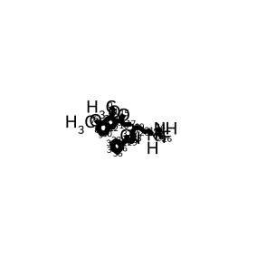 COc1cc2c(OC)cccc2cc1C(=O)CC[C@@H](CCCNC(=N)CF)c1ncc(-c2ccccc2)o1